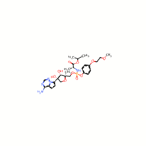 COCCOc1ccc(OP(=O)(N[C@@H](C)C(=O)OC(C)C)OC[C@@]2(C)OC[C@@](O)(c3ccc4c(N)ncnn34)[C@@H]2O)cc1